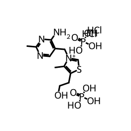 Cc1ncc(C[n+]2csc(CCO)c2C)c(N)n1.Cl.Cl.O=P(O)(O)O.O=P(O)(O)O